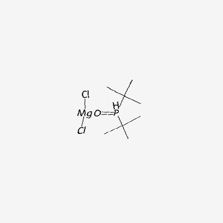 CC(C)(C)[PH](=O)C(C)(C)C.[Cl][Mg][Cl]